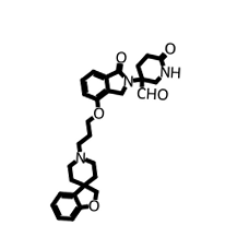 O=CC1(N2Cc3c(OCCCN4CCC5(CC4)COc4ccccc45)cccc3C2=O)CCC(=O)NC1